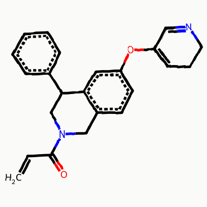 C=CC(=O)N1Cc2ccc(OC3=CCCN=C3)cc2C(c2ccccc2)C1